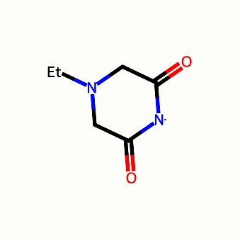 CCN1CC(=O)[N]C(=O)C1